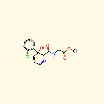 COC(=O)CNC(=O)C1N=CC=CC1(O)c1ccccc1Cl